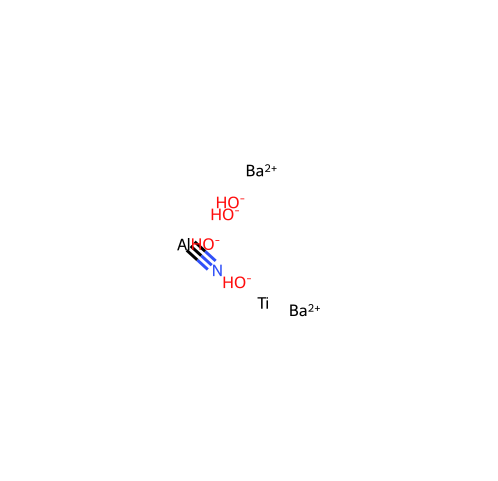 [Ba+2].[Ba+2].[N]#[Al].[OH-].[OH-].[OH-].[OH-].[Ti]